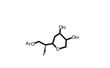 CC(=O)OC[C@H](F)C1CC(O)C(O)CO1